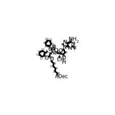 C#C[C@]1(CO[P@](=O)(N[C@@H](Cc2ccccc2)C(=O)OCCCCCCCCCCCCCCCC)Oc2ccccc2)O[C@@H](n2cnc3c(N)nc(F)nc32)C[C@@H]1O